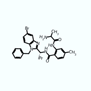 Cc1ccc(C(=O)N[C@@H](c2nc3cc(Br)ccc3n2Cc2ccccc2)C(C)C)c(NC(=O)C(C)N)c1